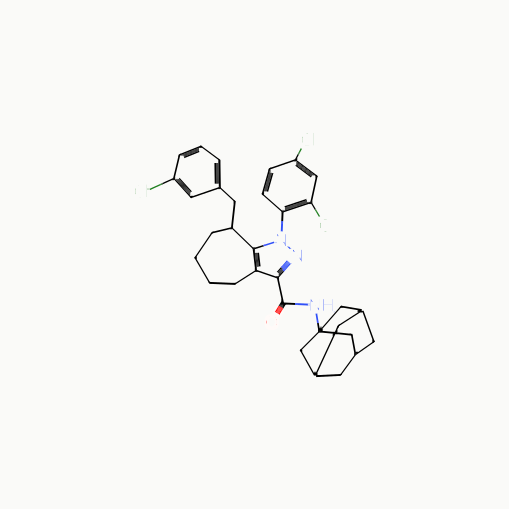 O=C(NC12CC3CC(CC(C3)C1)C2)c1nn(-c2ccc(Cl)cc2Cl)c2c1CCCCC2Cc1cccc(Cl)c1